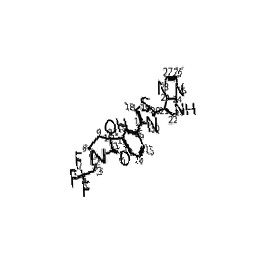 O=C1N(CC(F)(F)F)CC[C@@]1(O)c1cccc(-c2csc(-c3c[nH]c4nccnc34)n2)c1